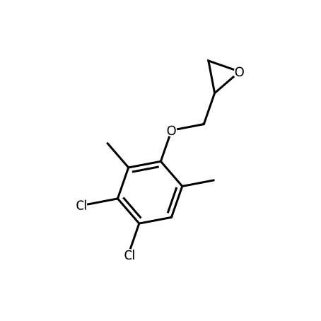 Cc1cc(Cl)c(Cl)c(C)c1OCC1CO1